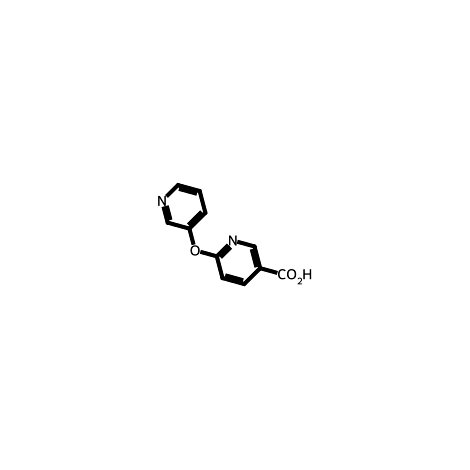 O=C(O)c1ccc(Oc2cccnc2)nc1